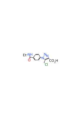 CCNC(=O)c1ccc(-n2nnc(C(=O)O)c2CCl)cc1